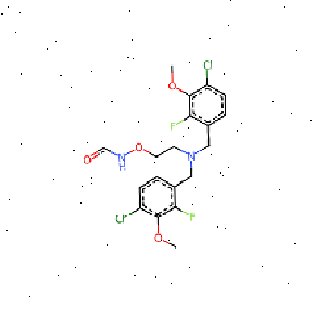 COc1c(Cl)ccc(CN(CCONC=O)Cc2ccc(Cl)c(OC)c2F)c1F